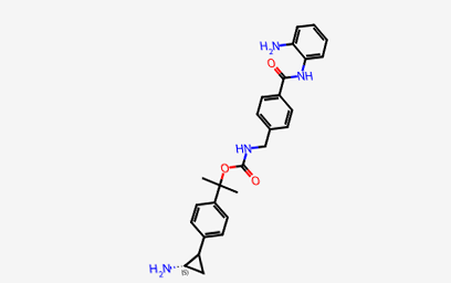 CC(C)(OC(=O)NCc1ccc(C(=O)Nc2ccccc2N)cc1)c1ccc(C2C[C@@H]2N)cc1